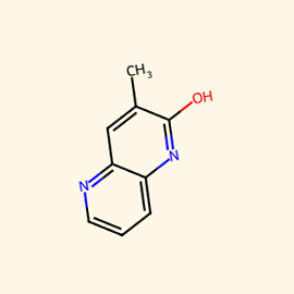 Cc1cc2ncccc2nc1O